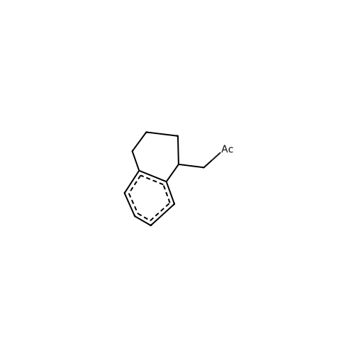 CC(=O)CC1CCCc2ccccc21